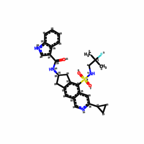 CC(C)(F)CNS(=O)(=O)c1c2c(cc3cnc(C4CC4)cc13)C[C@@H](NC(=O)c1c[nH]c3ccccc13)C2